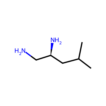 CC(C)C[C@H](N)CN